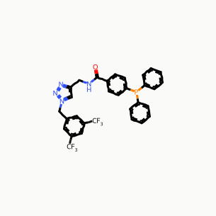 O=C(NCc1cn(Cc2cc(C(F)(F)F)cc(C(F)(F)F)c2)nn1)c1ccc(P(c2ccccc2)c2ccccc2)cc1